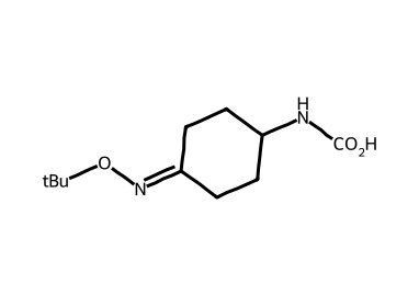 CC(C)(C)ON=C1CCC(NC(=O)O)CC1